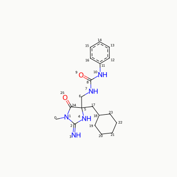 CN1C(=N)NC(CNC(=O)Nc2ccccc2)(CC2CCCCC2)C1=O